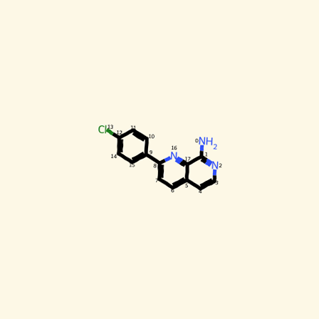 Nc1nccc2ccc(-c3ccc(Cl)cc3)nc12